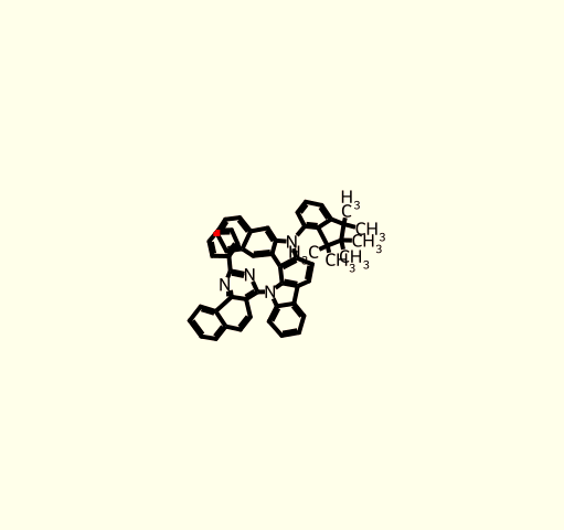 CC1(C)c2cccc(-n3c4cc5ccccc5cc4c4c3ccc3c5ccccc5n(-c5nc(-c6ccccc6)nc6c5ccc5ccccc56)c34)c2C(C)(C)C1(C)C